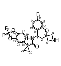 O=C(NC1CC2(CNC2)Oc2cc(F)ccc21)C1(c2ccc3c(c2)OC(F)(F)O3)CC1